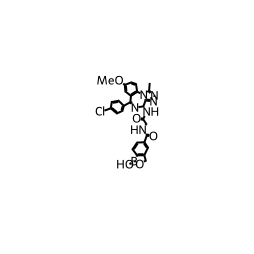 COc1ccc2c(c1)C(c1ccc(Cl)cc1)=N[C@@H](NC(=O)CNC(=O)c1ccc3c(c1)COB3O)c1nnc(C)n1-2